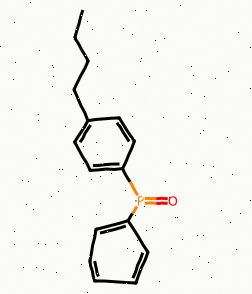 CCCCc1ccc([P](=O)c2ccccc2)cc1